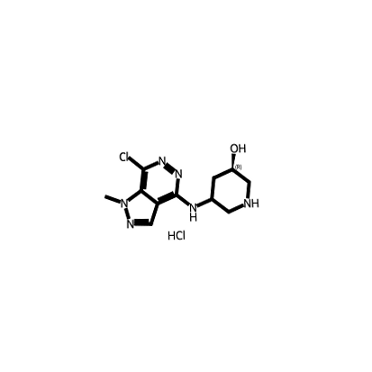 Cl.Cn1ncc2c(NC3CNC[C@H](O)C3)nnc(Cl)c21